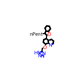 CCCCCc1c(-c2ccc(OCc3nnn[nH]3)c3ncccc23)oc2ccccc12